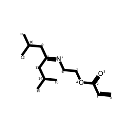 C=CC(=O)OCCN=C(CC(C)C)CC(C)C